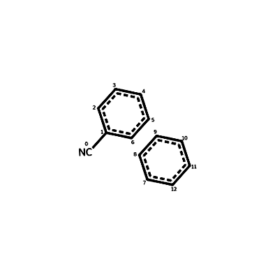 N#Cc1ccccc1.c1ccccc1